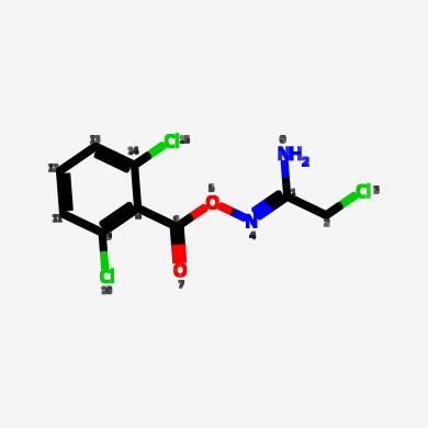 NC(CCl)=NOC(=O)c1c(Cl)cccc1Cl